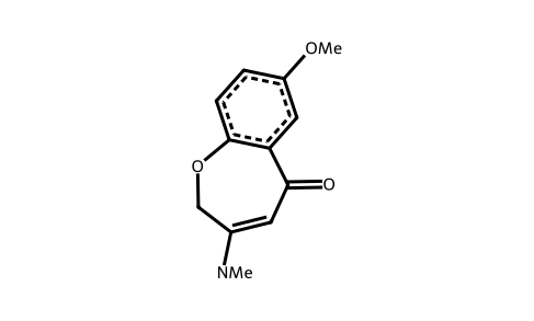 CNC1=CC(=O)c2cc(OC)ccc2OC1